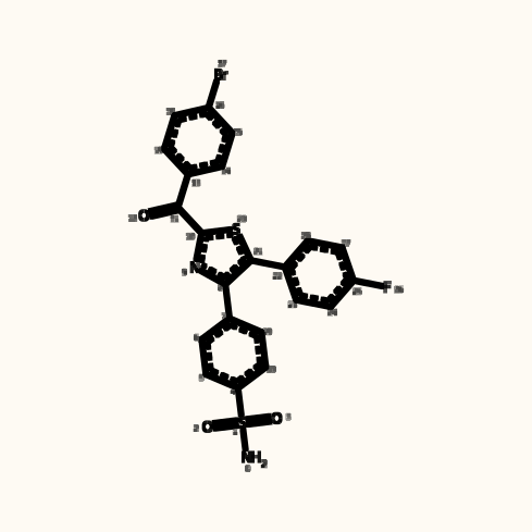 NS(=O)(=O)c1ccc(-c2nc(C(=O)c3ccc(Br)cc3)sc2-c2ccc(F)cc2)cc1